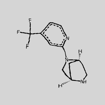 FC(F)(F)c1ccnc(N2C[C@H]3C[C@@H]2CN3)c1